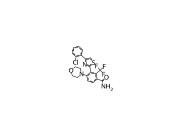 NC(=O)c1ccc(N2CCOCC2)c(-c2nc(-c3ccccc3Cl)cs2)c1C(F)(F)F